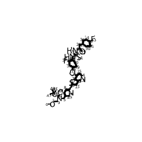 COCCN(Cc1ccc(-c2cc3nccc(Oc4ccc(NC(=S)NC(=O)Cc5ccc(F)cc5)c(F)c4)c3s2)nc1)C(=O)OC(C)(C)C